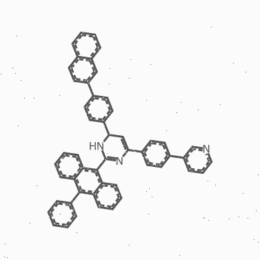 C1=C(c2ccc(-c3cccnc3)cc2)N=C(c2c3ccccc3c(-c3ccccc3)c3ccccc23)NC1c1ccc(-c2ccc3ccccc3c2)cc1